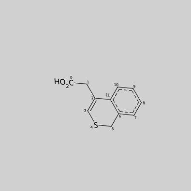 O=C(O)CC1=CSCc2ccccc21